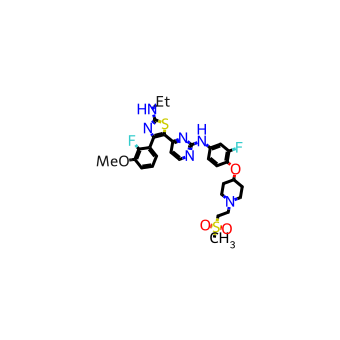 CCNc1nc(-c2cccc(OC)c2F)c(-c2ccnc(Nc3ccc(OC4CCN(CCS(C)(=O)=O)CC4)c(F)c3)n2)s1